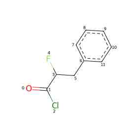 O=C(Cl)C(F)Cc1ccccc1